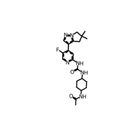 CC(=O)NC1CCC(NC(=O)Nc2cc(-c3cnn4c3CC(C)(C)C4)c(F)cn2)CC1